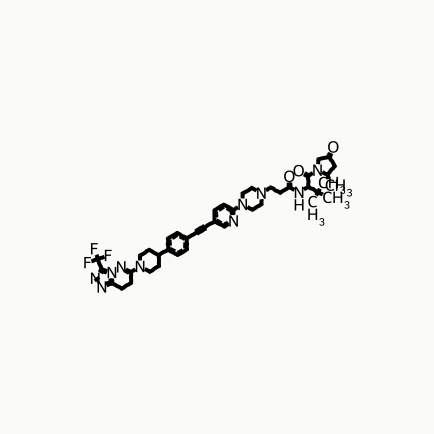 CC1CC(=O)CN1C(=O)C(NC(=O)CCN1CCN(c2ccc(C#Cc3ccc(C4CCN(C5=Nn6c(nnc6C(F)(F)F)CC5)CC4)cc3)cn2)CC1)C(C)(C)C